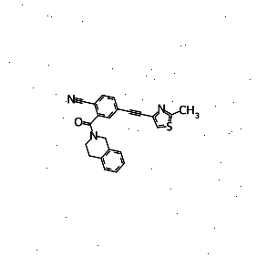 Cc1nc(C#Cc2ccc(C#N)c(C(=O)N3CCc4ccccc4C3)c2)cs1